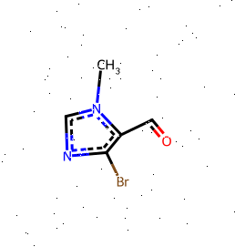 Cn1cnc(Br)c1C=O